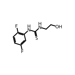 OCCNC(=S)Nc1cc(F)ccc1F